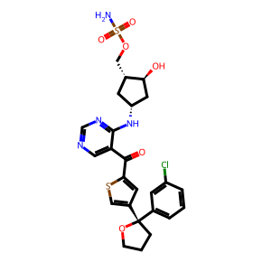 NS(=O)(=O)OC[C@H]1C[C@@H](Nc2ncncc2C(=O)c2cc([C@@]3(c4cccc(Cl)c4)CCCO3)cs2)C[C@@H]1O